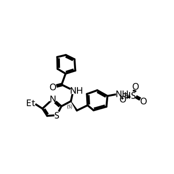 CCc1csc([C@H](Cc2ccc(NO[SH](=O)=O)cc2)NC(=O)c2ccccc2)n1